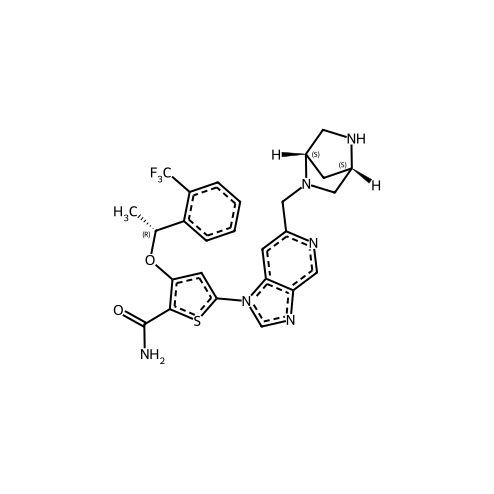 C[C@@H](Oc1cc(-n2cnc3cnc(CN4C[C@@H]5C[C@H]4CN5)cc32)sc1C(N)=O)c1ccccc1C(F)(F)F